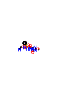 COC1=NC(OC)N(NC(=O)NS(=O)(=O)c2ccccc2OCC#N)C=N1